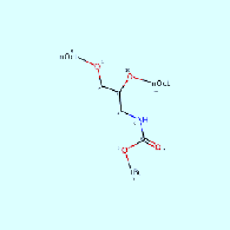 CCCCCCCCOCC(CNC(=O)OC(C)(C)C)OCCCCCCCC